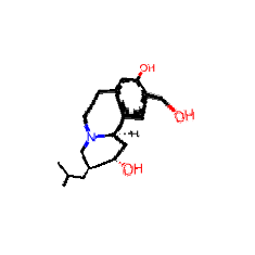 CC(C)C[C@H]1CN2CCc3cc(O)c(CO)cc3[C@H]2C[C@@H]1O